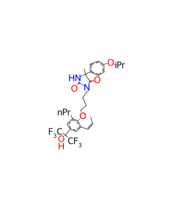 C/C=C\c1cc(C(O)(C(F)(F)F)C(F)(F)F)cc(CCC)c1OCCCCN1C(=O)NC(C)(c2ccc(OC(C)C)cc2)C1=O